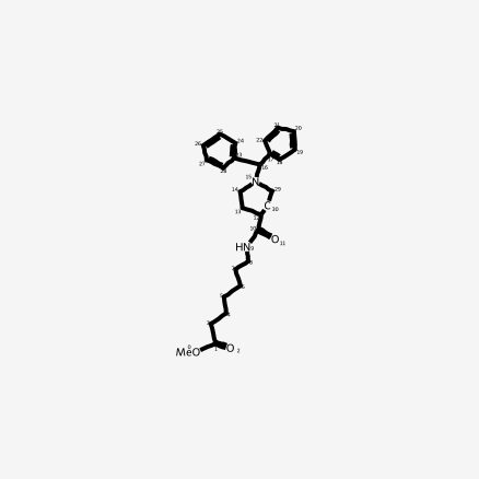 COC(=O)CCCCCCNC(=O)C1CCN(C(c2ccccc2)c2ccccc2)CC1